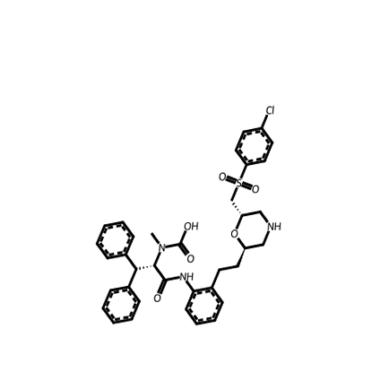 CN(C(=O)O)[C@H](C(=O)Nc1ccccc1CC[C@@H]1CNC[C@@H](CS(=O)(=O)c2ccc(Cl)cc2)O1)C(c1ccccc1)c1ccccc1